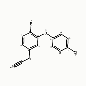 N#CCc1ccc(F)c(Oc2ccc(Cl)cc2)c1